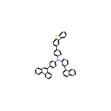 c1cc(-c2cccc3ccccc23)cc(N(c2ccc(-c3ccc4sc5ccccc5c4c3)cc2)c2ccc(-c3cc4ccccc4c4ccccc34)cc2)c1